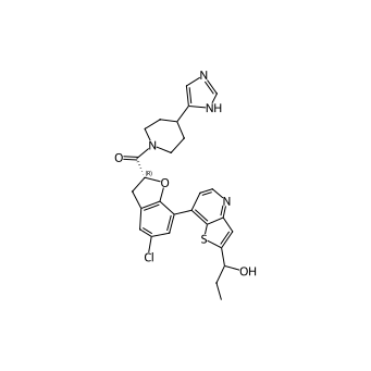 CCC(O)c1cc2nccc(-c3cc(Cl)cc4c3O[C@@H](C(=O)N3CCC(c5cnc[nH]5)CC3)C4)c2s1